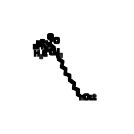 CCCCCCCCC=CCCCCCCCCCCCCC(CCC)(P(=O)=O)[N+](C)(C)CCC